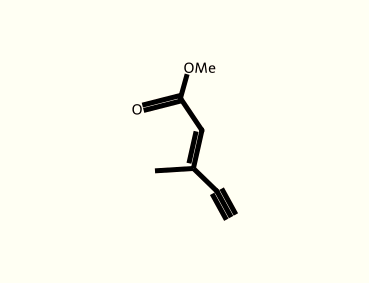 C#C/C(C)=C/C(=O)OC